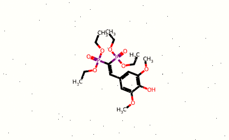 CCOP(=O)(OCC)C(=Cc1cc(OC)c(O)c(OC)c1)P(=O)(OCC)OCC